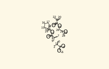 C=C(C)C(=O)OC.C=C(C)C(=O)OC1CC2CCC1C2.C=C(C)C(=O)OCC1CO1